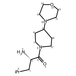 CC(C)C[C@H](N)C(=O)N1CCC(N2CCOCC2)CC1